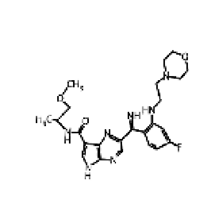 COCC(C)NC(=O)c1c[nH]c2ncc(C(=N)c3ccc(F)cc3NCCN3CCOCC3)nc12